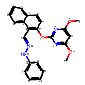 COc1cc(OC)nc(Oc2ccc3ccccc3c2C=NNc2ccccc2)n1